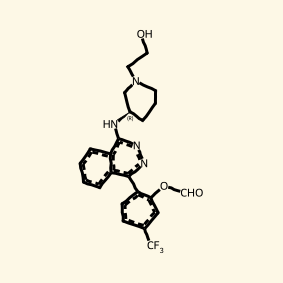 O=COc1cc(C(F)(F)F)ccc1-c1nnc(N[C@@H]2CCCN(CCO)C2)c2ccccc12